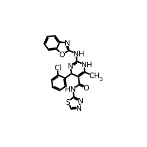 CC1=C(C(=O)Nc2nncs2)C(c2ccccc2Cl)N=C(Nc2nc3ccccc3o2)N1